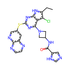 CCc1[nH]c2nc(Sc3cnc4nccnc4c3)nc(N3CC(NC(=O)c4cnc[nH]4)C3)c2c1Cl